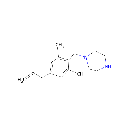 C=CCc1cc(C)c(CN2CCNCC2)c(C)c1